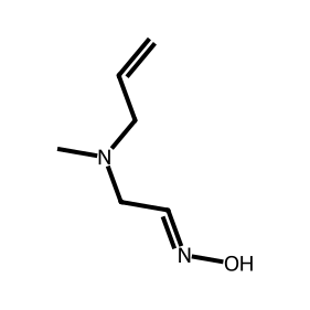 C=CCN(C)C/C=N/O